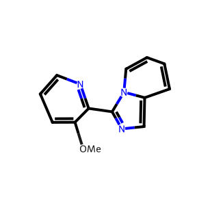 COc1cccnc1-c1ncc2ccccn12